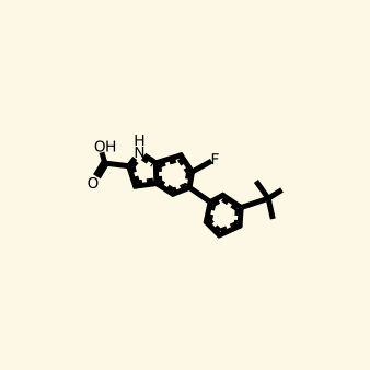 CC(C)(C)c1cccc(-c2cc3cc(C(=O)O)[nH]c3cc2F)c1